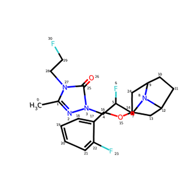 Cc1nn(CC(F)CN2C3CCC2CC(OCc2ccccc2F)C3)c(=O)n1CCF